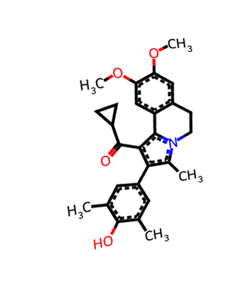 COc1cc2c(cc1OC)-c1c(C(=O)C3CC3)c(-c3cc(C)c(O)c(C)c3)c(C)n1CC2